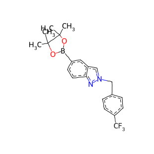 CC1(C)OB(c2ccc3nn(Cc4ccc(C(F)(F)F)cc4)cc3c2)OC1(C)C